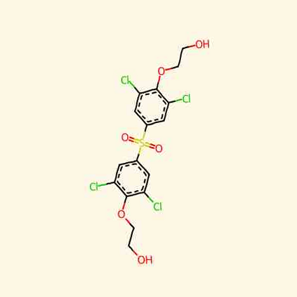 O=S(=O)(c1cc(Cl)c(OCCO)c(Cl)c1)c1cc(Cl)c(OCCO)c(Cl)c1